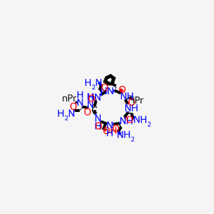 CCCC(=O)N[C@@H](CCN)C(=O)N[C@H]1CCNC(=O)[C@H]([C@@H](C)O)NC(=O)[C@H](CCN)NC(=O)[C@H](CCN)NC(=O)[C@H](CC(C)C)NC(=O)[C@@H](Cc2ccccc2)NC(=O)[C@H](CCN)NC1=O